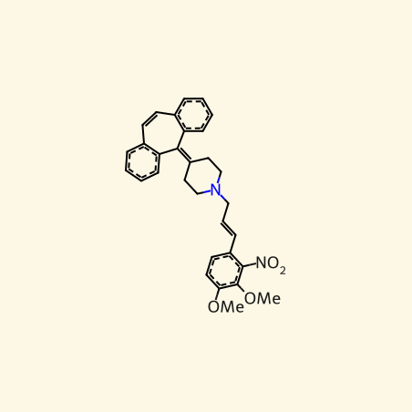 COc1ccc(C=CCN2CCC(=C3c4ccccc4C=Cc4ccccc43)CC2)c([N+](=O)[O-])c1OC